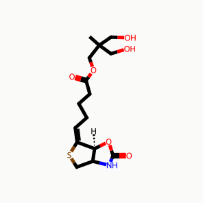 CC(CO)(CO)COC(=O)CCC/C=C1/SCC2NC(=O)O[C@H]12